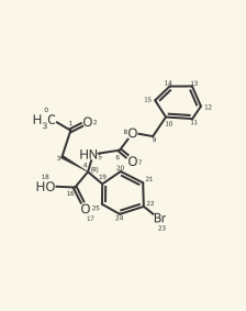 CC(=O)C[C@](NC(=O)OCc1ccccc1)(C(=O)O)c1ccc(Br)cc1